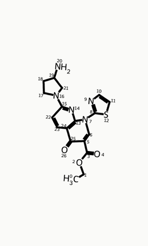 CCOC(=O)c1cn(-c2nccs2)c2nc(N3CCC(N)C3)ccc2c1=O